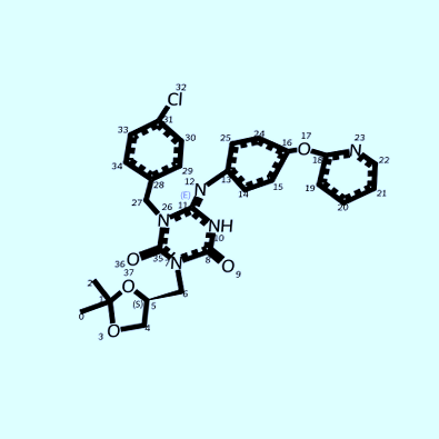 CC1(C)OC[C@H](Cn2c(=O)[nH]/c(=N\c3ccc(Oc4ccccn4)cc3)n(Cc3ccc(Cl)cc3)c2=O)O1